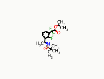 CC(=N[S@+]([O-])C(C)(C)C)c1cccc(C(F)(F)C(=O)OC(C)C)c1F